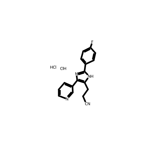 Cl.Cl.N#CCCc1[nH]c(-c2ccc(F)cc2)nc1-c1cccnc1